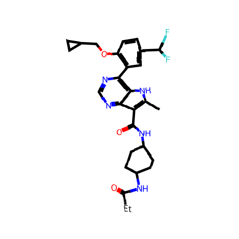 CCC(=O)NC1CCC(NC(=O)c2c(C)[nH]c3c(-c4cc(C(F)F)ccc4OCC4CC4)ncnc23)CC1